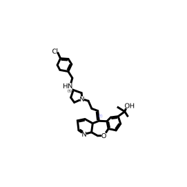 CC(C)(O)c1ccc2c(c1)/C(=C/CCN1CC[C@H](NCC3=CC=C(Cl)CC3)C1)C1C=CC=NC1CO2